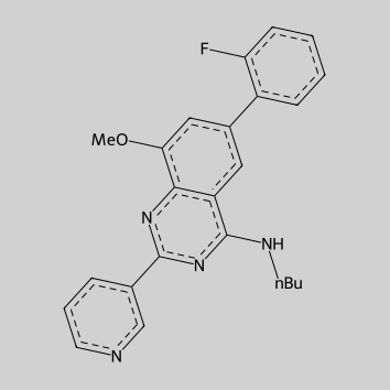 CCCCNc1nc(-c2cccnc2)nc2c(OC)cc(-c3ccccc3F)cc12